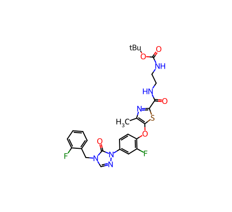 Cc1nc(C(=O)NCCNC(=O)OC(C)(C)C)sc1Oc1ccc(-n2ncn(Cc3ccccc3F)c2=O)cc1F